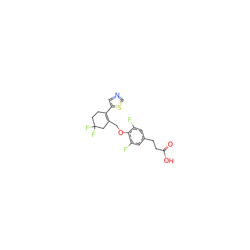 O=C(O)CCc1cc(F)c(OCC2=C(c3cncs3)CCC(F)(F)C2)c(F)c1